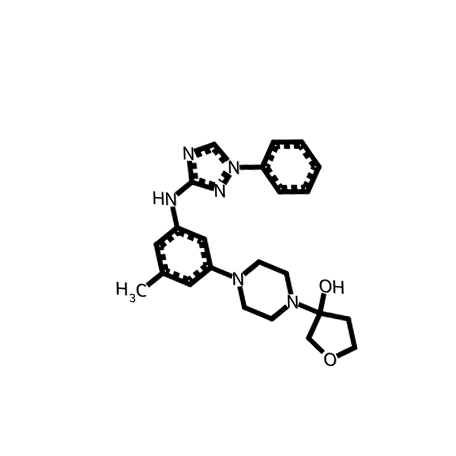 Cc1cc(Nc2ncn(-c3ccccc3)n2)cc(N2CCN(C3(O)CCOC3)CC2)c1